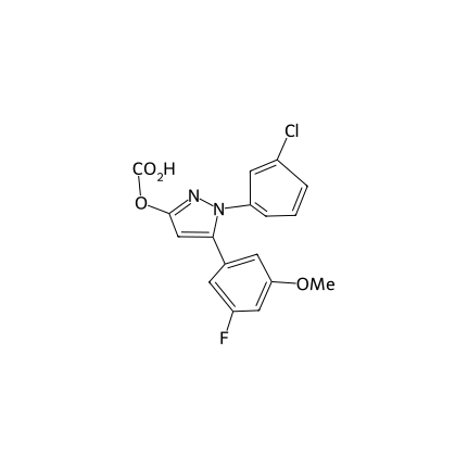 COc1cc(F)cc(-c2cc(OC(=O)O)nn2-c2cccc(Cl)c2)c1